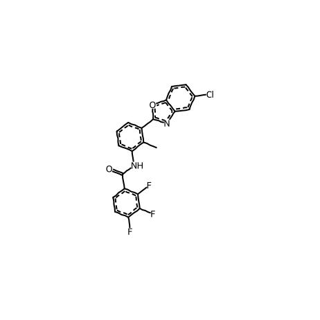 Cc1c(NC(=O)c2ccc(F)c(F)c2F)cccc1-c1nc2cc(Cl)ccc2o1